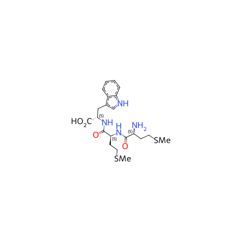 CSCC[C@H](NC(=O)[C@@H](N)CCSC)C(=O)N[C@@H](Cc1c[nH]c2ccccc12)C(=O)O